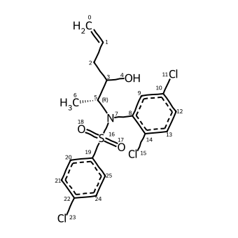 C=CCC(O)[C@@H](C)N(c1cc(Cl)ccc1Cl)S(=O)(=O)c1ccc(Cl)cc1